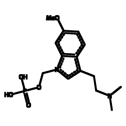 COc1ccc2c(CCN(C)C)cn(COP(=O)(O)O)c2c1